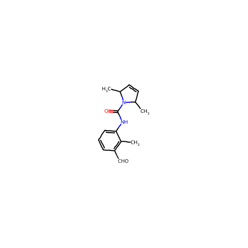 Cc1c(C=O)cccc1NC(=O)N1C(C)C=CC1C